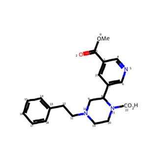 COC(=O)c1cncc(C2CN(CCc3ccccc3)CCN2C(=O)O)c1